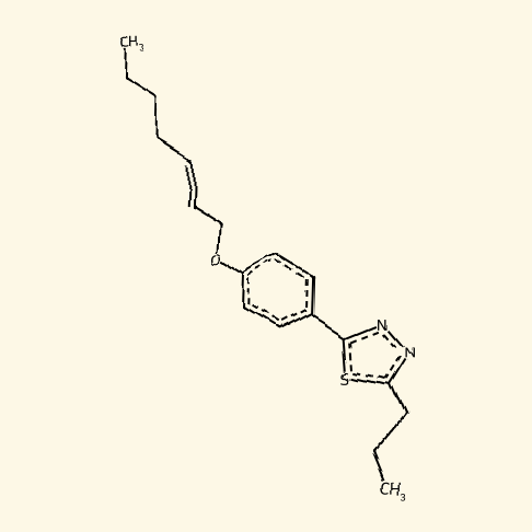 CCCC/C=C/COc1ccc(-c2nnc(CCC)s2)cc1